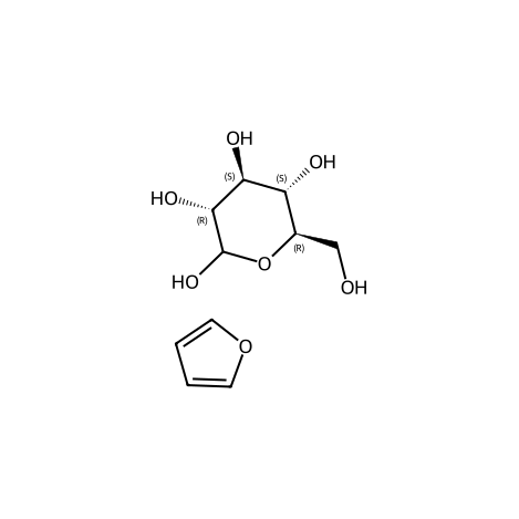 OC[C@H]1OC(O)[C@H](O)[C@@H](O)[C@@H]1O.c1ccoc1